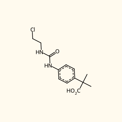 CC(C)(C(=O)O)c1ccc(NC(=O)NCCCl)cc1